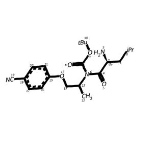 CC(C)C[C@H](N)C(=O)N(C(=O)OC(C)(C)C)C(C)COc1ccc(C#N)cc1